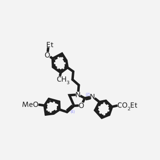 CCOC(=O)c1cccc(/N=C2\O/C(=C/c3ccc(OC)cc3)CN2CCCc2ccc(OCC)cc2C)c1